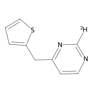 [2H]c1nccc(Cc2cccs2)n1